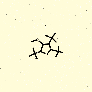 COC1C(C(C)(C)C)OC(C(C)(C)C)C1C(C)(C)C